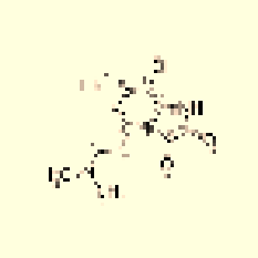 Br.CN(C)CCc1ccc(O)c2c1C(=O)C(=O)N2